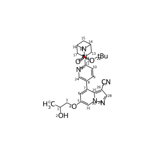 CC(O)COc1cc(-c2ccc(N3CC4CC(C3)N4C(=O)OC(C)(C)C)nc2)c2c(C#N)cnn2c1